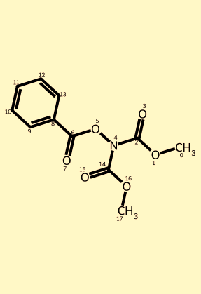 COC(=O)N(OC(=O)c1ccccc1)C(=O)OC